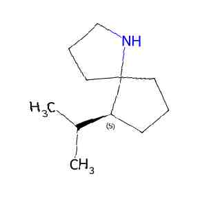 CC(C)[C@@H]1CCCC12CCCN2